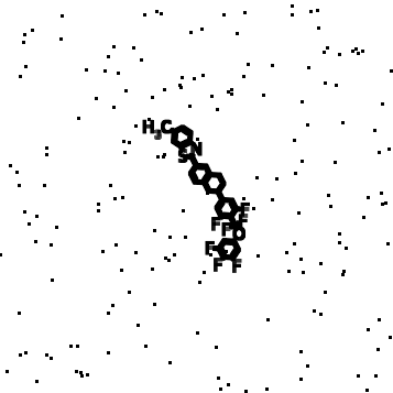 Cc1ccc2nc(-c3ccc4c(c3)CCC(c3cc(F)c(C(F)(F)Oc5cc(F)c(F)c(F)c5)c(F)c3)C4)sc2c1